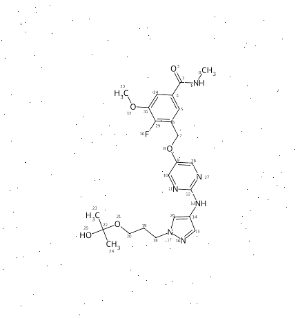 CNC(=O)c1cc(COc2cnc(Nc3cnn(CCCOC(C)(C)O)c3)nc2)c(F)c(OC)c1